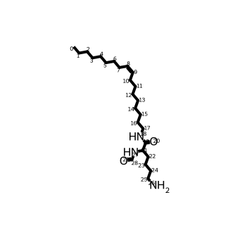 CCCCCCCC/C=C\CCCCCCCCNC(=O)C(CCCCN)NC=O